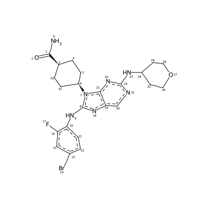 NC(=O)[C@H]1CC[C@@H](n2c(Nc3ccc(Br)cc3F)nc3cnc(NC4CCOCC4)nc32)CC1